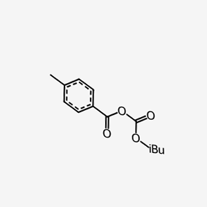 CCC(C)OC(=O)OC(=O)c1ccc(C)cc1